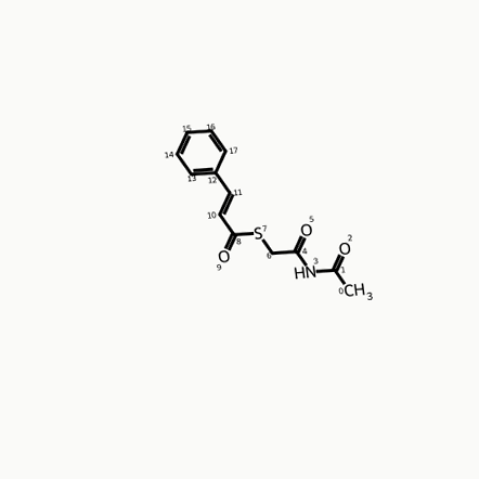 CC(=O)NC(=O)CSC(=O)C=Cc1ccccc1